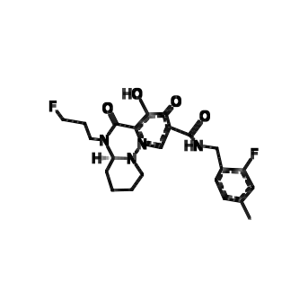 Cc1ccc(CNC(=O)c2cn3c(c(O)c2=O)C(=O)N(CCCF)[C@@H]2CCCCN23)c(F)c1